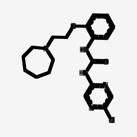 O=C(Nc1cnc(Cl)cn1)Nc1ccccc1OCCN1CCCCCC1